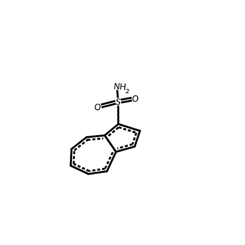 NS(=O)(=O)c1ccc2cccccc1-2